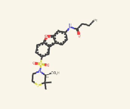 CC(C)CCC(=O)Nc1ccc2c(c1)oc1ccc(S(=O)(=O)N3CCSC(C)(C)[C@@H]3C(=O)O)cc12